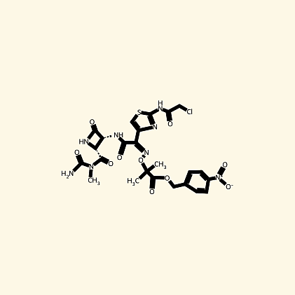 CN(C(N)=O)C(=O)[C@@H]1NC(=O)[C@@H]1NC(=O)/C(=N\OC(C)(C)C(=O)OCc1ccc([N+](=O)[O-])cc1)c1csc(NC(=O)CCl)n1